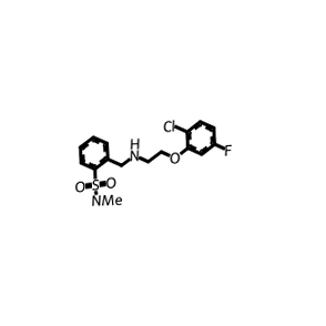 CNS(=O)(=O)c1ccccc1CNCCOc1cc(F)ccc1Cl